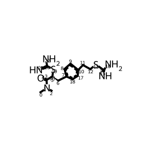 CN(C)C(=O)[C@H](Cc1ccc(CCSC(=N)N)cc1)SC(=N)N